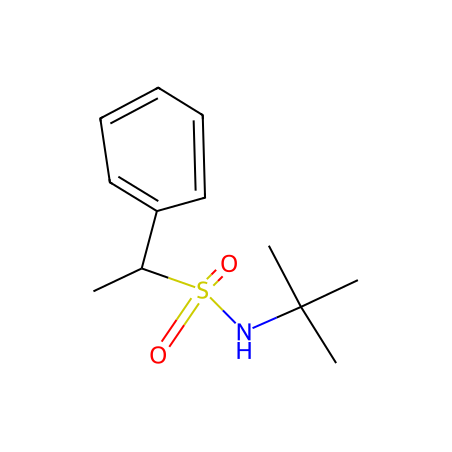 CC(c1ccccc1)S(=O)(=O)NC(C)(C)C